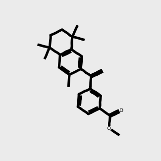 C=C(c1cccc(C(=O)OC)c1)c1cc2c(cc1C)C(C)(C)CCC2(C)C